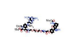 COC(=O)Nc1cccc2c1C(=O)c1c(-c3ccc(OCC(=O)NCCOCCOCCOCCNC(=O)CC[C@@H](C(=O)OC(C)(C)C)N(C=O)c4ccc(N(C)Cc5cnc6nc(N)nc(N)c6n5)cc4)cc3)n[nH]c1-2